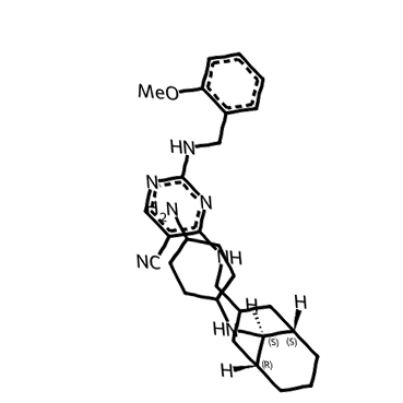 COc1ccccc1CNc1ncc(C#N)c(NCC2C[C@H]3CCC[C@@H](C2)[C@@H]3NC2CCC(N)CC2)n1